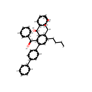 CCCCc1cc(-c2ccc(-c3ccccc3)cc2)c(C(=O)c2ccccc2)c(C(=O)c2ccccc2)c1CCCC